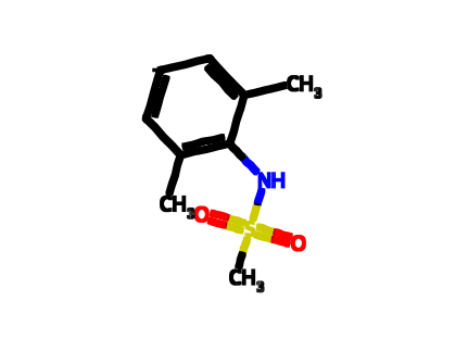 Cc1c[c]cc(C)c1NS(C)(=O)=O